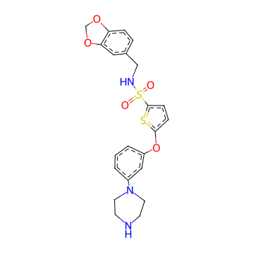 O=S(=O)(NCc1ccc2c(c1)OCO2)c1ccc(Oc2cccc(N3CCNCC3)c2)s1